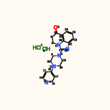 Cl.Cl.O=C1CCn2c(N3CCN(c4ccncc4)CC3)nc3cccc1c32